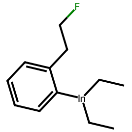 C[CH2][In]([CH2]C)[c]1ccccc1CCF